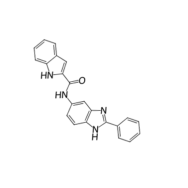 O=C(Nc1ccc2[nH]c(-c3ccccc3)nc2c1)c1cc2ccccc2[nH]1